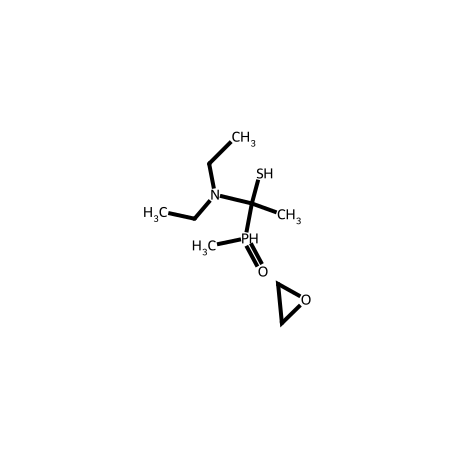 C1CO1.CCN(CC)C(C)(S)[PH](C)=O